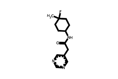 CC1(F)CCC(NC(=O)Cc2cncnc2)CC1